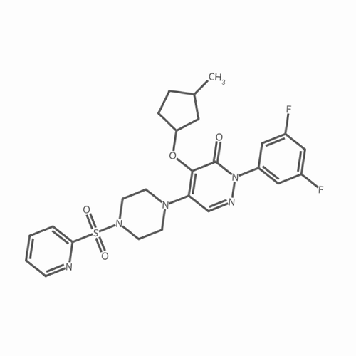 CC1CCC(Oc2c(N3CCN(S(=O)(=O)c4ccccn4)CC3)cnn(-c3cc(F)cc(F)c3)c2=O)C1